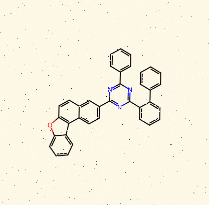 c1ccc(-c2nc(-c3ccc4c(ccc5oc6ccccc6c54)c3)nc(-c3ccccc3-c3ccccc3)n2)cc1